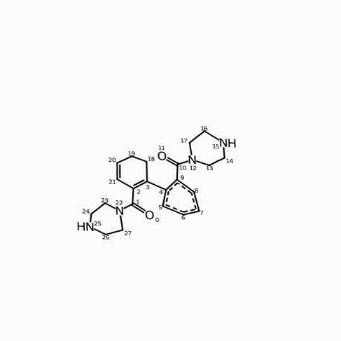 O=C(C1=C(c2ccccc2C(=O)N2CCNCC2)CCC=C1)N1CCNCC1